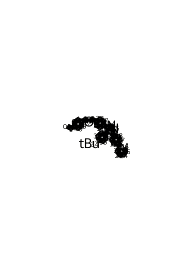 C=Cc1ccc(COCc2ccc(-c3nnc(-c4ccc(-c5ccccn5)cc4)n3-c3ccc(C(C)(C)C)cc3)cc2)cc1